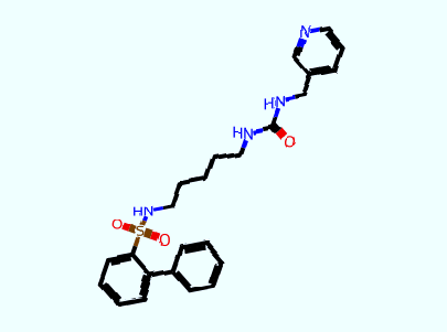 O=C(NCCCCCNS(=O)(=O)c1ccccc1-c1ccccc1)NCc1cccnc1